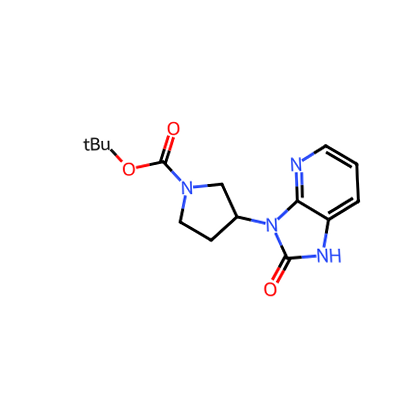 CC(C)(C)OC(=O)N1CCC(n2c(=O)[nH]c3cccnc32)C1